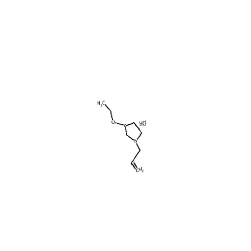 C=CCN1CCN(OCC)C1.Cl